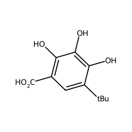 CC(C)(C)c1cc(C(=O)O)c(O)c(O)c1O